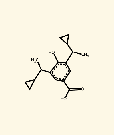 C[C@@H](c1cc(C(=O)O)cc([C@H](C)C2CC2)c1O)C1CC1